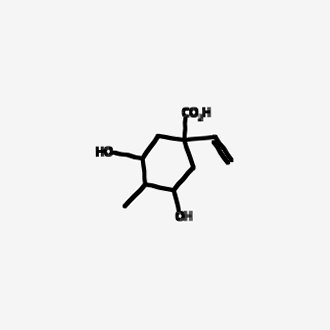 C=CC1(C(=O)O)CC(O)C(C)C(O)C1